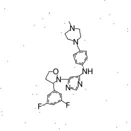 CN1CCN(c2ccc(Nc3cc(N4OCCC4c4cc(F)cc(F)c4)ncn3)cc2)CC1